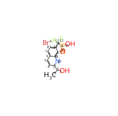 CC(O)c1ccc2cc(Br)c(C(F)(F)[PH](=O)O)cc2n1